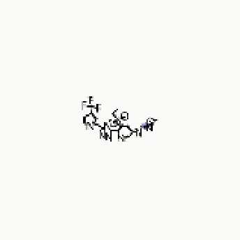 CCS(=O)(=O)c1cc(N(C)/C=N/OC)cnc1-c1nnc(-c2cc(C(F)(F)F)ccn2)n1C